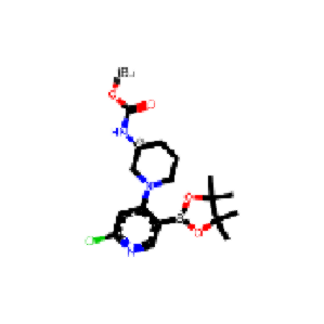 CC(C)(C)OC(=O)N[C@H]1CCCN(c2cc(Cl)ncc2B2OC(C)(C)C(C)(C)O2)C1